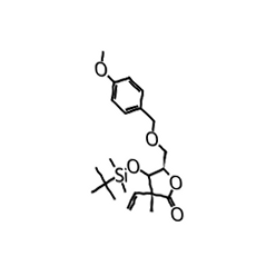 C=C[C@@]1(C)C(=O)O[C@H](COCc2ccc(OC)cc2)C1O[Si](C)(C)C(C)(C)C